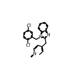 C=N/C=C\C(=C/C)Cc1nc2ccccc2n1Cc1cc(Cl)ccc1Cl